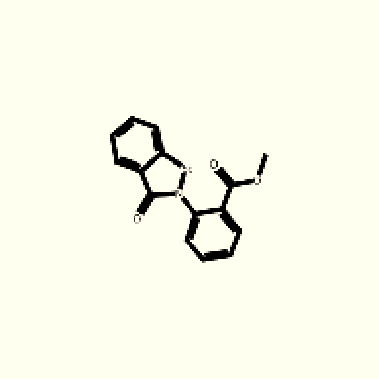 COC(=O)c1ccccc1-n1[se]c2ccccc2c1=O